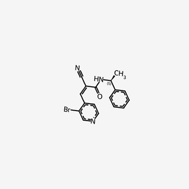 C[C@H](NC(=O)C(C#N)=Cc1ccncc1Br)c1ccccc1